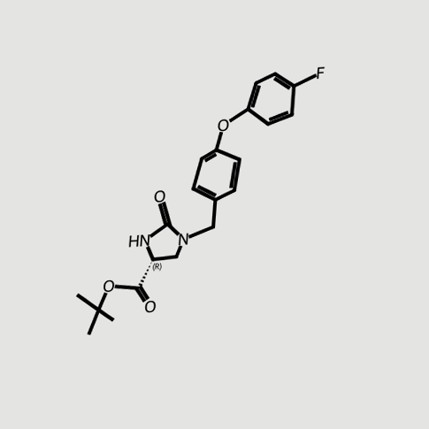 CC(C)(C)OC(=O)[C@H]1CN(Cc2ccc(Oc3ccc(F)cc3)cc2)C(=O)N1